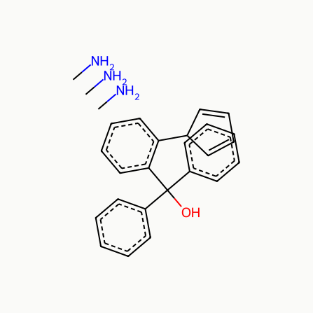 CN.CN.CN.OC(c1ccccc1)(c1ccccc1)c1ccccc1C1C=CC=C1